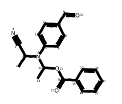 CC(C#N)N(c1ccc(C=O)cc1)C(C)OC(=O)c1ccccc1